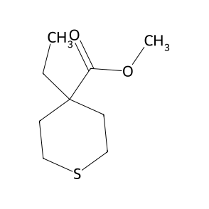 CCC1(C(=O)OC)CCSCC1